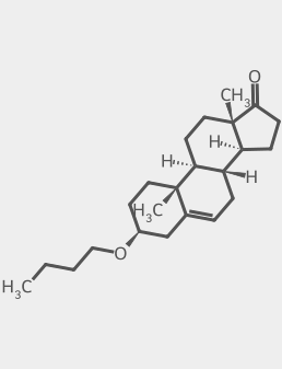 CCCCO[C@H]1CC[C@@]2(C)C(=CC[C@@H]3[C@@H]2CC[C@]2(C)C(=O)CC[C@@H]32)C1